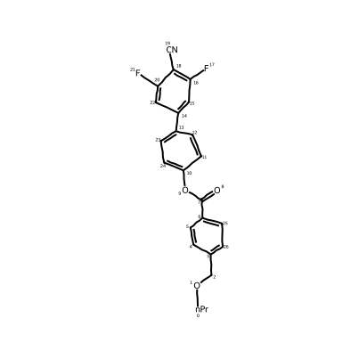 CCCOCc1ccc(C(=O)Oc2ccc(-c3cc(F)c(C#N)c(F)c3)cc2)cc1